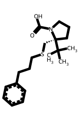 CC(C)(C)[C@]1(CSCCCc2ccccc2)CCCN1C(=O)O